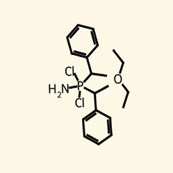 CC(c1ccccc1)P(N)(Cl)(Cl)C(C)c1ccccc1.CCOCC